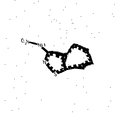 O=[N+]([O-])Nc1nsc2ccccc12